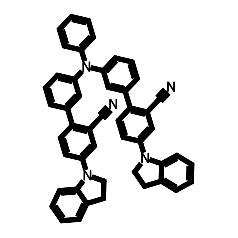 N#Cc1cc(N2CCc3ccccc32)ccc1-c1cccc(N(c2ccccc2)c2cccc(-c3ccc(N4CCc5ccccc54)cc3C#N)c2)c1